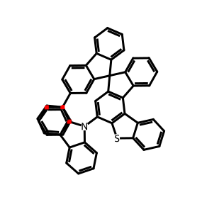 c1ccc(-c2ccc3c(c2)C2(c4ccccc4-3)c3ccccc3-c3c2cc(-n2c4ccccc4c4ccccc42)c2sc4ccccc4c32)cc1